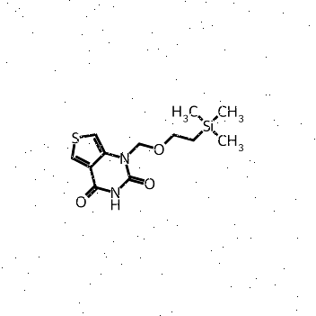 C[Si](C)(C)CCOCn1c(=O)[nH]c(=O)c2cscc21